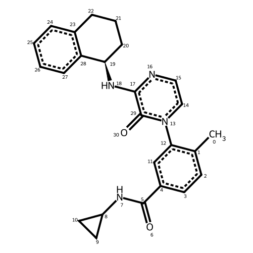 Cc1ccc(C(=O)NC2CC2)cc1-n1ccnc(N[C@@H]2CCCc3ccccc32)c1=O